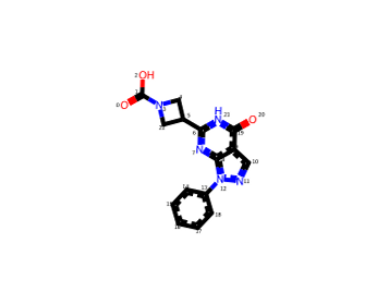 O=C(O)N1CC(c2nc3c(cnn3-c3ccccc3)c(=O)[nH]2)C1